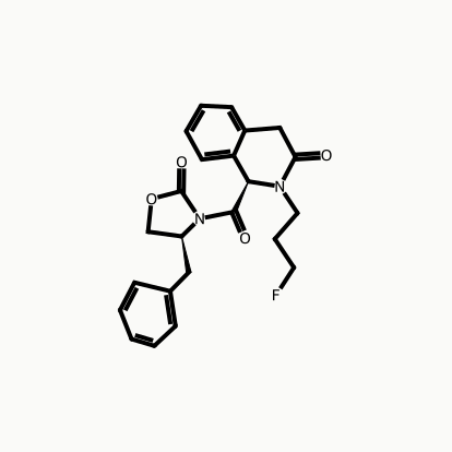 O=C1Cc2ccccc2[C@H](C(=O)N2C(=O)OC[C@@H]2Cc2ccccc2)N1CCCF